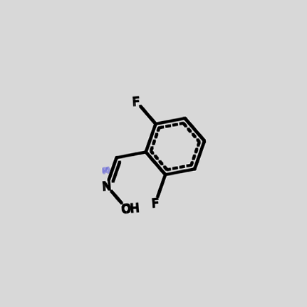 O/N=C\c1c(F)cccc1F